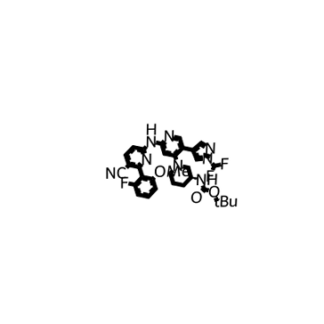 COc1cccc(F)c1-c1nc(Nc2cc(N3CCC[C@H](NC(=O)OC(C)(C)C)C3)c(-c3cnn(C(F)F)c3)cn2)ccc1C#N